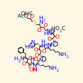 CC(=O)OCC(CSCC(N)C(=O)C(=O)CNN[C@@H](CC(=O)O)C(=O)C(=O)[C@@H]1CCCN1N[C@@H](CCCCN)C(=O)N[C@@H](Cc1c[nH]cn1)C(=O)CC(=O)[C@@H]1CCCN1C(=O)[C@H](CCCCN)NN[C@@H](CO)C(=O)C(=O)[C@@H](N)Cc1ccccc1)OC=O